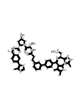 Cc1ncsc1-c1ccc([C@H](C)NC(=O)[C@@H]2C[C@@H](O)CN2C(=O)[C@@H](NC(=O)CCc2cccc(-c3ccc(C4=N[C@@H](CC(=O)O)c5nnc(C)n5-c5sc(C)c(C)c54)cc3)c2)C(C)(C)C)cc1